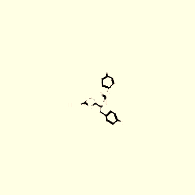 Cc1nc([C@H](Cc2ccc(Cl)cc2)NC(=O)Nc2ccc(Cl)cc2)no1